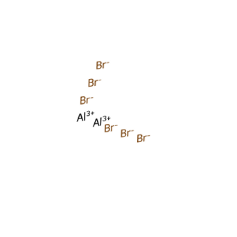 [Al+3].[Al+3].[Br-].[Br-].[Br-].[Br-].[Br-].[Br-]